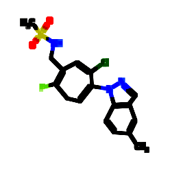 Cc1ccc2c(cnn2C2=CCC(F)=C(CNS(C)(=O)=O)C=C2Cl)c1